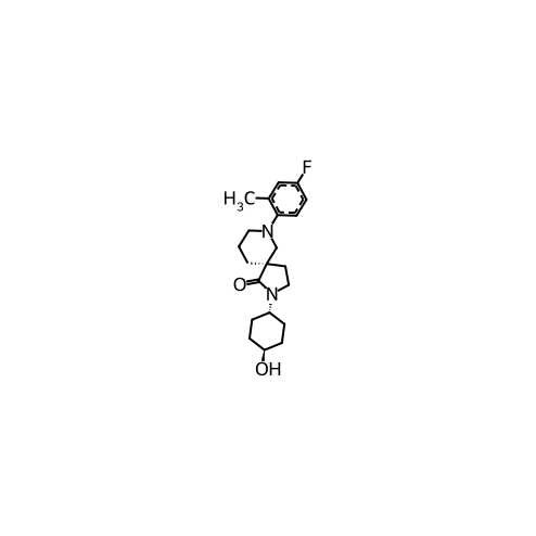 Cc1cc(F)ccc1N1CCC[C@@]2(CCN([C@H]3CC[C@H](O)CC3)C2=O)C1